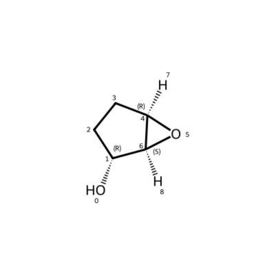 O[C@@H]1CC[C@H]2O[C@@H]12